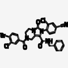 N#Cc1ccc(-n2c(C(=O)NCc3ccccc3)c3n(c2=O)CCN(C(=O)c2ccc(Br)c(Cl)c2)C3)c(Cl)c1